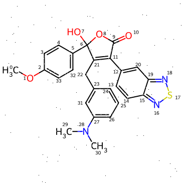 COc1ccc(C2(O)OC(=O)C(c3ccc4nsnc4c3)=C2Cc2cccc(N(C)C)c2)cc1